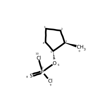 C[C@@H]1CCC[C@H]1OP(=S)(Cl)Cl